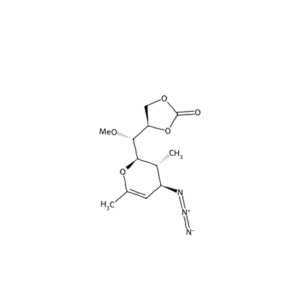 CO[C@@H]([C@@H]1OC(C)=C[C@H](N=[N+]=[N-])[C@H]1C)[C@H]1COC(=O)O1